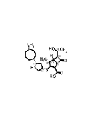 C[C@@H](O)[C@H]1C(=O)N2C(C(=O)O)=C(S[C@@H]3CN[C@H](C4CCCN(C)CC4)C3)[C@H](C)[C@H]12